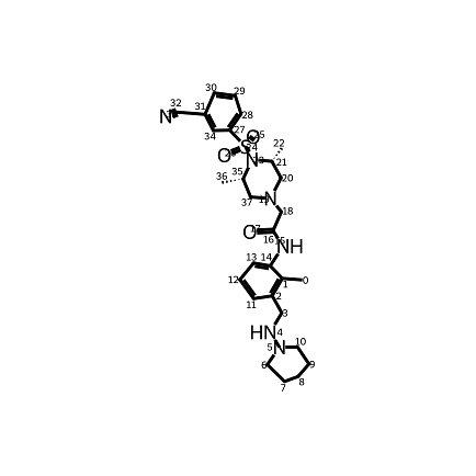 Cc1c(CNN2CCCCC2)cccc1NC(=O)CN1C[C@@H](C)N(S(=O)(=O)c2cccc(C#N)c2)[C@@H](C)C1